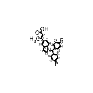 C/C(=C\C(=O)O)c1ccc2c(ccn2C(c2ccc(F)cc2)c2ccc(F)cc2)c1